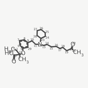 CCC(C)(Oc1cccc(CCN(CCCCCCCC(C)=O)C2CCCCC2)c1)C(=O)O